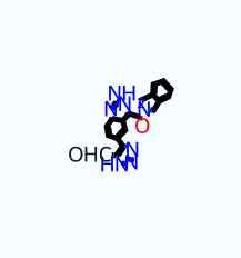 NC1=NC2C=CC(c3nn[nH]c3C=O)=CC2C(C(=O)N2Cc3ccccc3C2)=N1